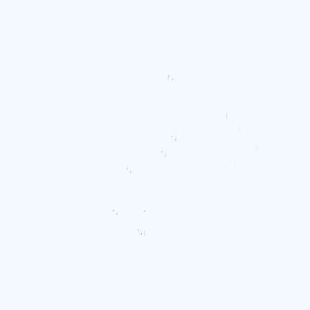 O=C(c1cc(-c2cccnc2Cl)n(-c2ccc(C(F)(F)F)c(F)c2)n1)N1CCC2(CC1)C(=O)NCN2c1ccc(F)cc1